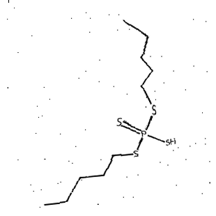 CCCCCSP(=S)(S)SCCCCC